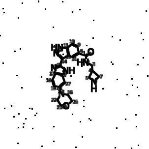 O=C(NCC1CNC1)c1ccc2[nH]nc(-c3nc4ccc(N5CCOCC5)cc4[nH]3)c2c1